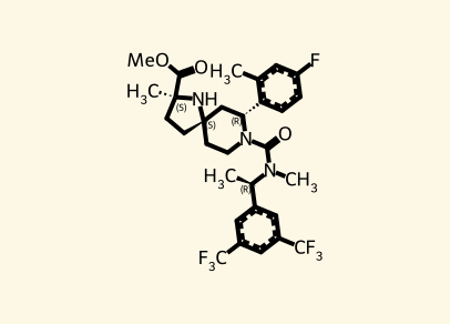 COC(=O)[C@]1(C)CC[C@@]2(CCN(C(=O)N(C)[C@H](C)c3cc(C(F)(F)F)cc(C(F)(F)F)c3)[C@@H](c3ccc(F)cc3C)C2)N1